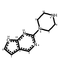 c1cc2cnc(N3CCNCC3)nc2o1